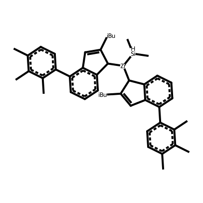 CCC(C)C1=Cc2c(-c3ccc(C)c(C)c3C)cccc2[CH]1[Zr]([CH]1C(C(C)CC)=Cc2c(-c3ccc(C)c(C)c3C)cccc21)[SiH](C)C